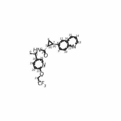 C[C@@H](NC(=O)[C@@H]1C[C@H]1c1ccc2ncccc2c1)c1ccc(OCC(F)(F)F)nc1